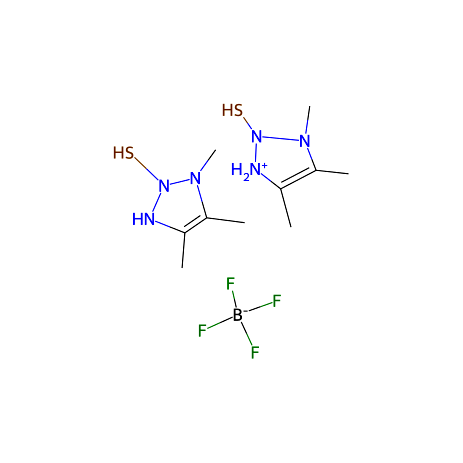 CC1=C(C)N(C)N(S)N1.CC1=C(C)N(C)N(S)[NH2+]1.F[B-](F)(F)F